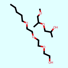 CCCCCOCCOCCOCCO.COCC(C)OCC(C)O